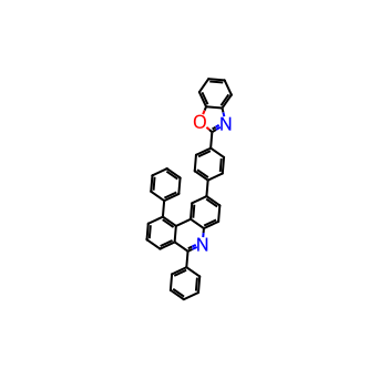 c1ccc(-c2nc3ccc(-c4ccc(-c5nc6ccccc6o5)cc4)cc3c3c(-c4ccccc4)cccc23)cc1